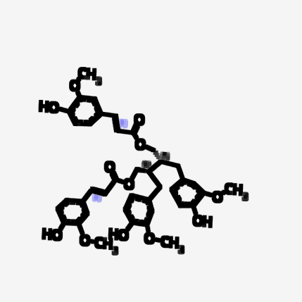 COc1cc(/C=C/C(=O)OC[C@H](Cc2ccc(O)c(OC)c2)[C@H](COC(=O)/C=C/c2ccc(O)c(OC)c2)Cc2ccc(O)c(OC)c2)ccc1O